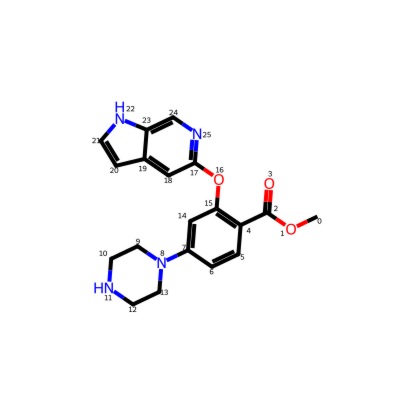 COC(=O)c1ccc(N2CCNCC2)cc1Oc1cc2cc[nH]c2cn1